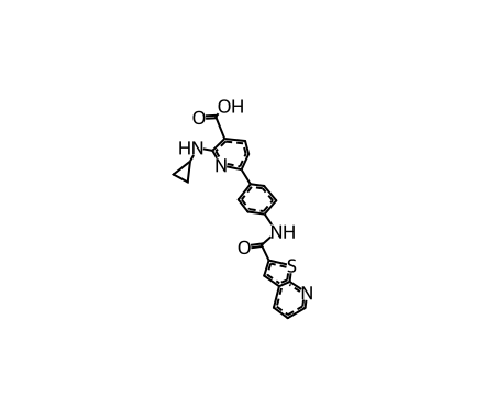 O=C(Nc1ccc(-c2ccc(C(=O)O)c(NC3CC3)n2)cc1)c1cc2cccnc2s1